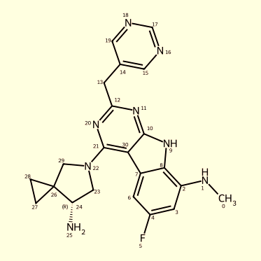 CNc1cc(F)cc2c1[nH]c1nc(Cc3cncnc3)nc(N3C[C@H](N)C4(CC4)C3)c12